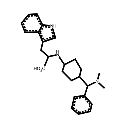 CN(C)C(c1ccccc1)C1CCC(NC(Cc2c[nH]c3ccccc23)C(=O)O)CC1